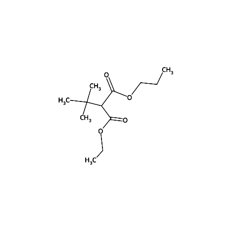 CCCOC(=O)C(C(=O)OCC)C(C)(C)C